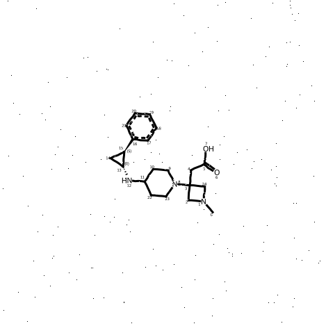 CN1CC(CC(=O)O)(N2CCC(N[C@@H]3C[C@H]3c3ccccc3)CC2)C1